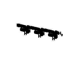 CN1CCN(C2CCN(c3ccc(Nc4nc(NC5CCC6(CC5)COC6)c(-c5ccccn5)nc4C(=O)NCN4CC5(CCN(C6CCN(c7ccc(Nc8nc(NC9CC%10(CCOCC%10)C9)c(-c9ccccn9)nc8C(=O)NCN8CCC9(CC8)CN(C8CCN(c%10ccc(Nc%11nc(NC%12CC%13(CCOCC%13)C%12)c(-c%12ccccn%12)nc%11C(N)=O)cc%10)CC8)C9)cc7)CC6)CC5)C4)cc3)CC2)CC1